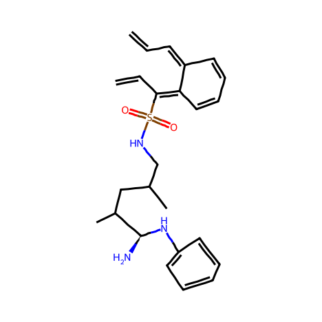 C=C/C=c1/cccc/c1=C(/C=C)S(=O)(=O)NCC(C)CC(C)[C@H](N)Nc1ccccc1